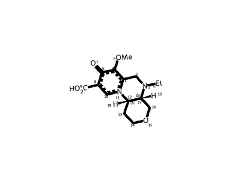 CCN1Cc2c(OC)c(=O)c(C(=O)O)cn2[C@H]2CCOC[C@H]21